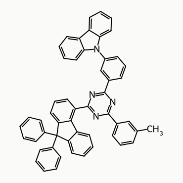 Cc1cccc(-c2nc(-c3cccc(-n4c5ccccc5c5ccccc54)c3)nc(-c3cccc4c3-c3ccccc3C4(c3ccccc3)c3ccccc3)n2)c1